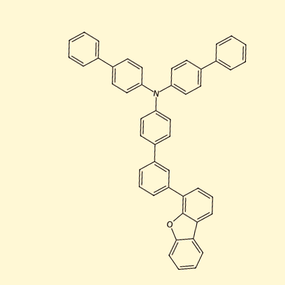 c1ccc(-c2ccc(N(c3ccc(-c4ccccc4)cc3)c3ccc(-c4cccc(-c5cccc6c5oc5ccccc56)c4)cc3)cc2)cc1